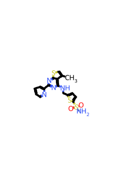 Cc1csc2nc(-c3ccccn3)nc(NCc3ccc(S(N)(=O)=O)s3)c12